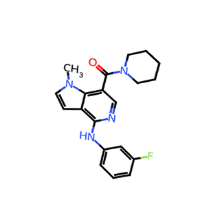 Cn1ccc2c(Nc3cccc(F)c3)ncc(C(=O)N3CCCCC3)c21